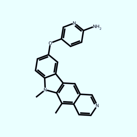 Cc1c2ccncc2cc2c3cc(Oc4ccc(N)nc4)ccc3n(C)c12